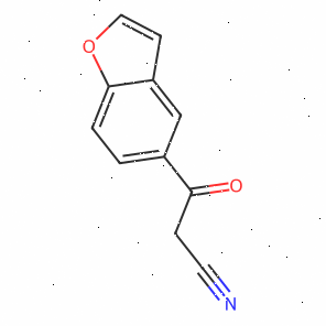 N#CCC(=O)c1ccc2occc2c1